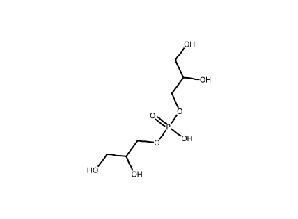 O=P(O)(OCC(O)CO)OCC(O)CO